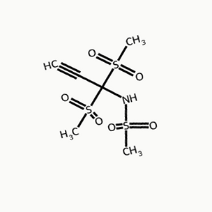 C#CC(NS(C)(=O)=O)(S(C)(=O)=O)S(C)(=O)=O